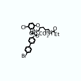 CCC(=O)NCCCC(Oc1ccc(Cl)cc1)C(NS(=O)(=O)c1ccc(-c2ccc(Br)cc2)cc1)C(=O)O